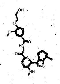 CNc1ccc(C(=O)CNC(=O)c2ccc(OCCO)c(OC)c2)nc1-c1csc2c(F)cccc12